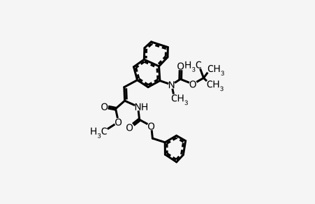 COC(=O)/C(=C/c1cc(N(C)C(=O)OC(C)(C)C)c2ccccc2c1)NC(=O)OCc1ccccc1